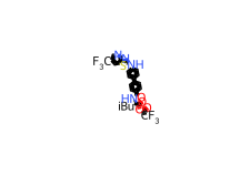 CC[C@H](C)[C@H](NC(=O)c1ccc(-c2ccc(Nc3nc4ncc(C(F)(F)F)cc4s3)cc2)cc1)C(=O)OC(=O)C(F)(F)F